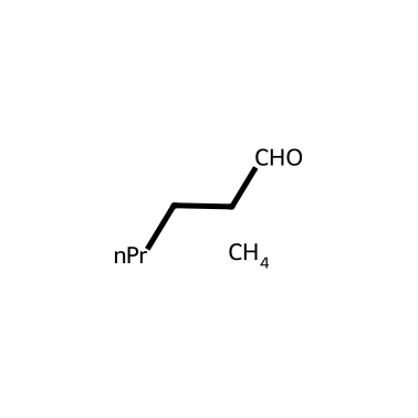 C.CCCCCC=O